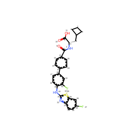 O=C(N[C@@H](CC1CCC1)C(=O)O)c1ccc(-c2ccc(Nc3nc4ccc(F)cc4s3)c(F)c2)cc1